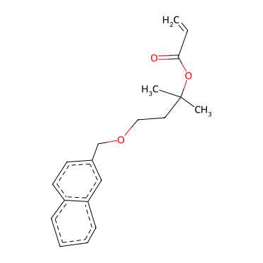 C=CC(=O)OC(C)(C)CCOCc1ccc2ccccc2c1